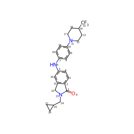 O=C1c2ccc(Nc3ccc(N4CCC(C(F)(F)F)CC4)cc3)cc2CN1CC1CC1